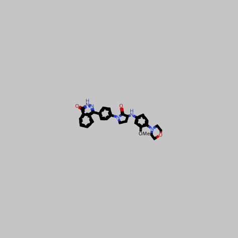 COc1cc(NC2CCN(c3ccc(-c4n[nH]c(=O)c5ccccc45)cc3)C2=O)ccc1N1CCOCC1